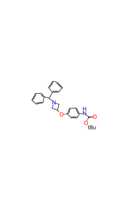 CC(C)(C)OC(=O)Nc1ccc(OC2CN(C(c3ccccc3)c3ccccc3)C2)cc1